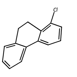 Clc1cccc2c1CCc1ccccc1-2